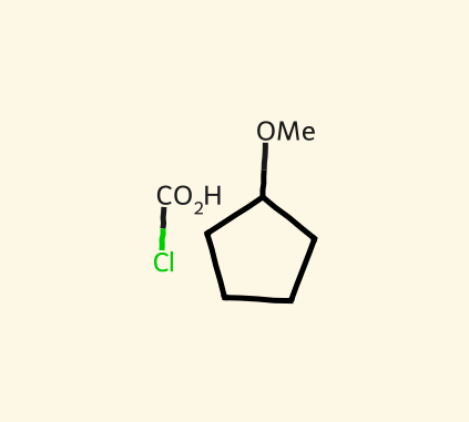 COC1CCCC1.O=C(O)Cl